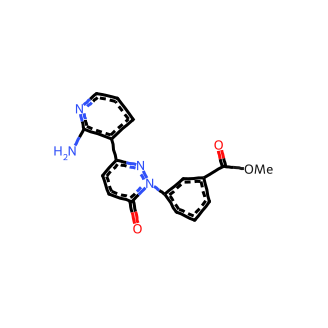 COC(=O)c1cccc(-n2nc(-c3cccnc3N)ccc2=O)c1